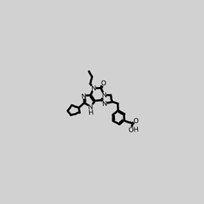 CCCN1C(=O)N2CC(Cc3cccc(C(=O)O)c3)N=C2c2[nH]c(C3CCCC3)nc21